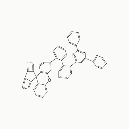 c1ccc(-c2cc(-c3ccccc3-c3ccccc3-c3ccc4c(c3)Oc3ccccc3C43c4ccccc4-c4ccccc43)nc(-c3ccccc3)n2)cc1